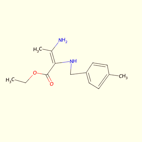 CCOC(=O)/C(NCc1ccc(C)cc1)=C(\C)N